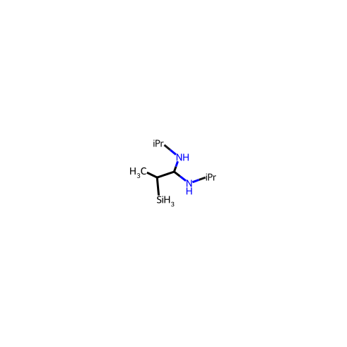 CC(C)NC(NC(C)C)C(C)[SiH3]